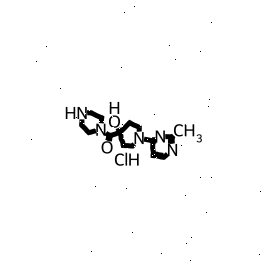 Cc1nccc(N2CCC(O)(C(=O)N3CCNCC3)CC2)n1.Cl